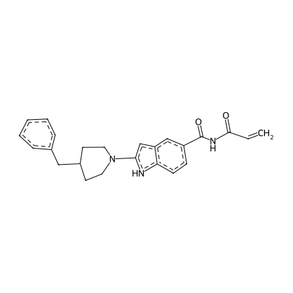 C=CC(=O)NC(=O)c1ccc2[nH]c(N3CCC(Cc4ccccc4)CC3)cc2c1